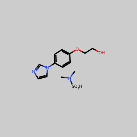 CN(C)S(=O)(=O)O.OCCOc1ccc(-n2ccnc2)cc1